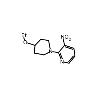 CCOC1CCN(c2ncccc2[N+](=O)[O-])CC1